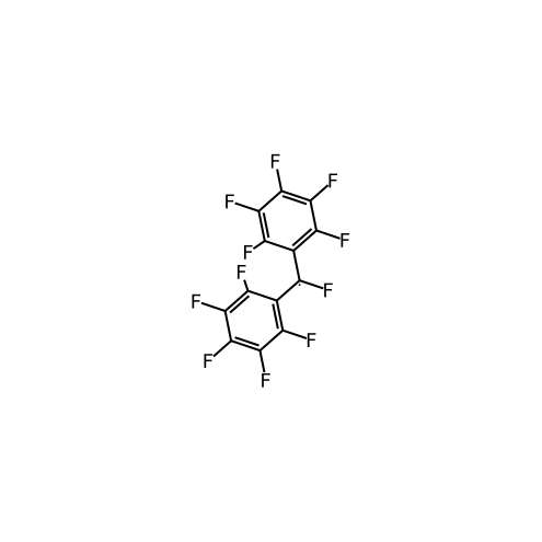 F[C](c1c(F)c(F)c(F)c(F)c1F)c1c(F)c(F)c(F)c(F)c1F